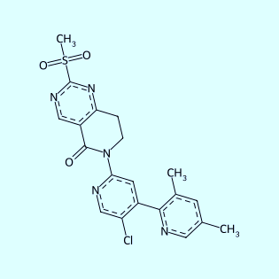 Cc1cnc(-c2cc(N3CCc4nc(S(C)(=O)=O)ncc4C3=O)ncc2Cl)c(C)c1